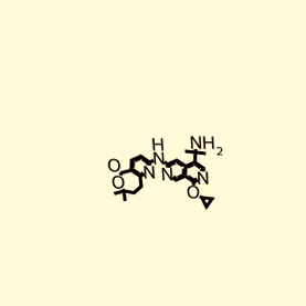 CC1(C)CCc2nc(Nc3cc4c(C(C)(C)N)cnc(OC5CC5)c4cn3)ccc2C(=O)O1